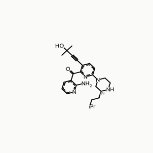 CC(C)CC[C@H]1CN(c2ccc(C#CC(C)(C)O)c(C(=O)c3cccnc3N)n2)CCN1